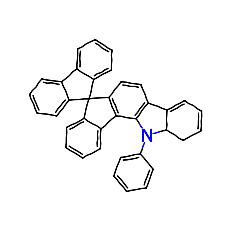 C1=CCC2C(=C1)c1ccc3c(c1N2c1ccccc1)-c1ccccc1C31c2ccccc2-c2ccccc21